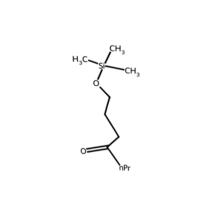 CCCC(=O)CCCO[Si](C)(C)C